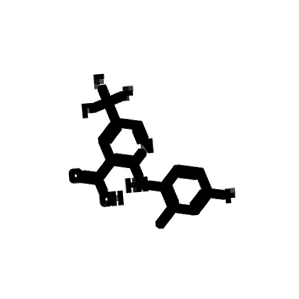 Cc1cc(F)ccc1Nc1ncc(C(F)(F)F)cc1C(=O)O